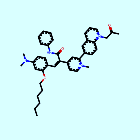 CCCCCCOc1cc(N(C)C)ccc1/C=C(\C(=O)Nc1ccccc1)c1cc[n+](C)c(-c2ccc3c(ccc[n+]3CC(C)=O)c2)c1